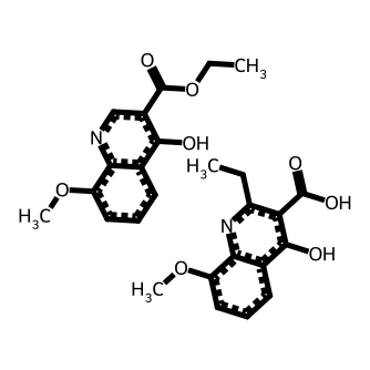 CCOC(=O)c1cnc2c(OC)cccc2c1O.CCc1nc2c(OC)cccc2c(O)c1C(=O)O